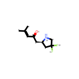 CC(C)=CC(=O)C[C@@H]1CC(F)(F)CN1